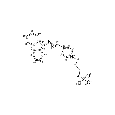 O=S(=O)([O-])CCCC[n+]1ccc(/C=N/N=C2c3ccccc3-c3ccccc32)cc1